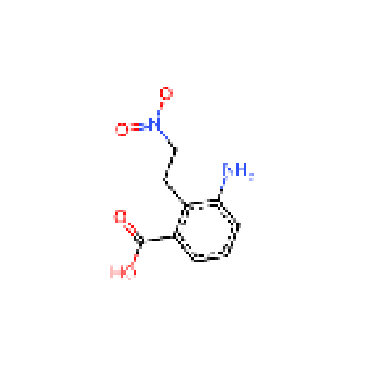 Nc1cccc(C(=O)O)c1CC[N+](=O)[O-]